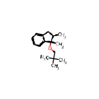 CC1Cc2ccccc2C1(C)OCC(C)(C)C